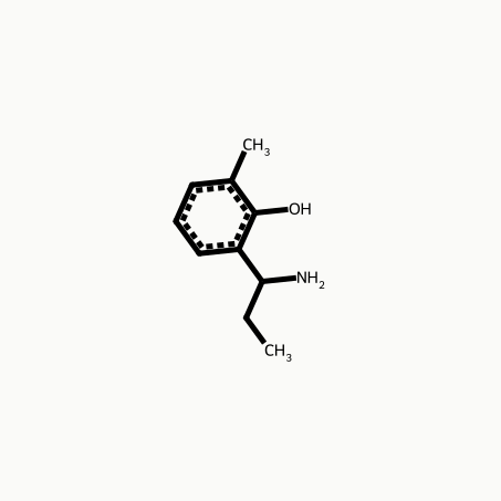 CCC(N)c1cccc(C)c1O